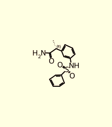 C[C@@H](C(N)=O)c1cccc(NS(=O)(=O)c2ccccc2)c1